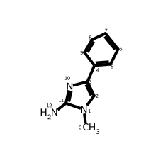 Cn1cc(-c2ccccc2)nc1N